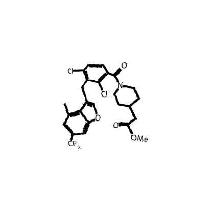 COC(=O)CC1CCN(C(=O)c2ccc(Cl)c(Cc3coc4cc(C(F)(F)F)cc(C)c34)c2Cl)CC1